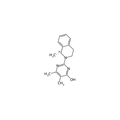 Cc1nc(N2CCc3ccccc3[C@H]2C)nc(O)c1C